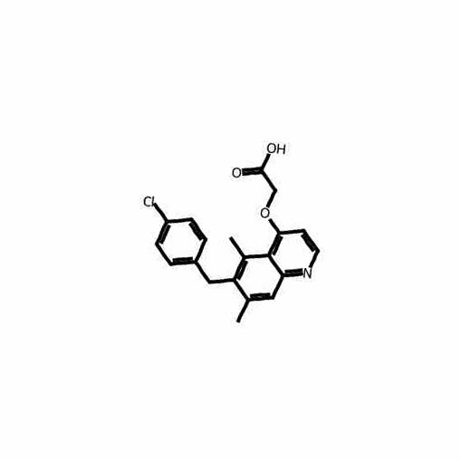 Cc1cc2nccc(OCC(=O)O)c2c(C)c1Cc1ccc(Cl)cc1